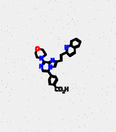 O=C(O)c1ccc(-c2cnc(N3CCOCC3)c3nc(/C=C/c4ccc5ccccc5n4)cn23)cc1